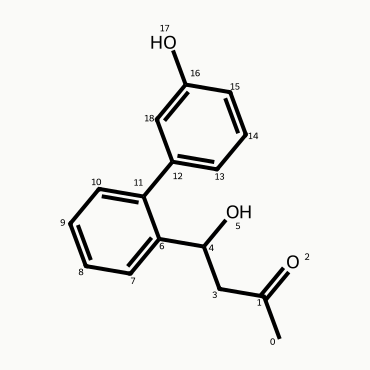 CC(=O)CC(O)c1ccccc1-c1cccc(O)c1